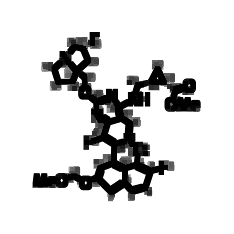 CCc1c(F)ccc2cc(OCOC)cc(-c3ncc4c(NC[C@H]5C[C@@H]5C(=O)OC)nc(OC[C@@]56CCCN5C[C@H](F)C6)nc4c3F)c12